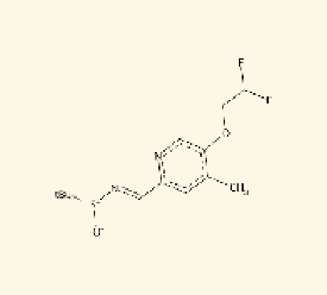 Cc1cc(/C=N/[S@+]([O-])C(C)(C)C)ncc1OCC(F)F